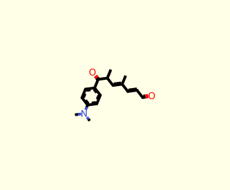 CC(/C=C/C=O)=C\C(C)C(=O)c1ccc(N(C)C)cc1